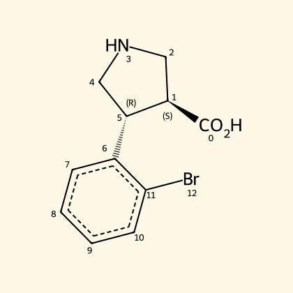 O=C(O)[C@@H]1CNC[C@H]1c1ccccc1Br